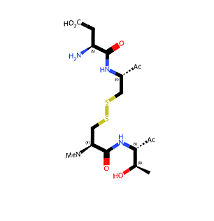 CN[C@@H](CSSC[C@H](NC(=O)[C@@H](N)CC(=O)O)C(C)=O)C(=O)N[C@H](C(C)=O)[C@@H](C)O